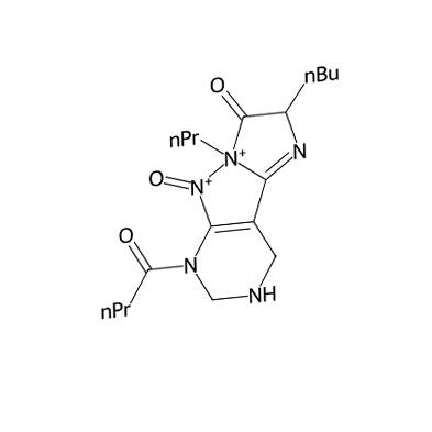 CCCCC1N=C2C3=C(N(C(=O)CCC)CNC3)[N+](=O)[N+]2(CCC)C1=O